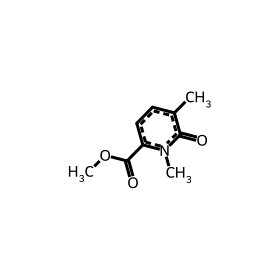 COC(=O)c1ccc(C)c(=O)n1C